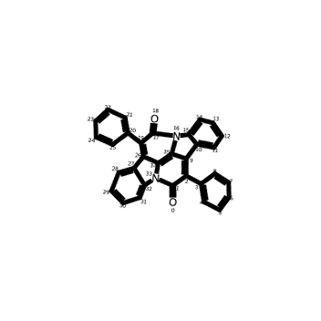 O=c1c(-c2ccccc2)c2c3ccccc3n3c(=O)c(-c4ccccc4)c4c5ccccc5n1c4c23